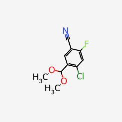 COC(OC)c1cc(C#N)c(F)cc1Cl